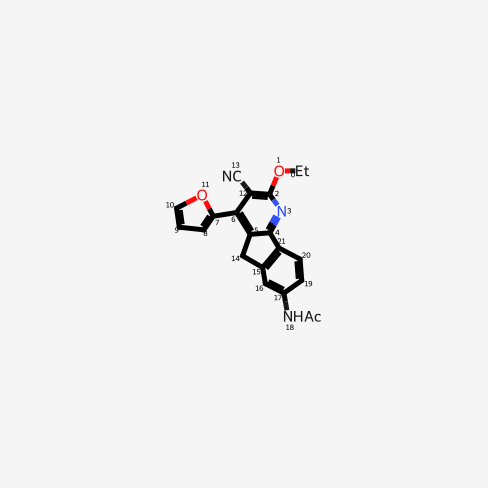 CCOc1nc2c(c(-c3ccco3)c1C#N)Cc1cc(NC(C)=O)ccc1-2